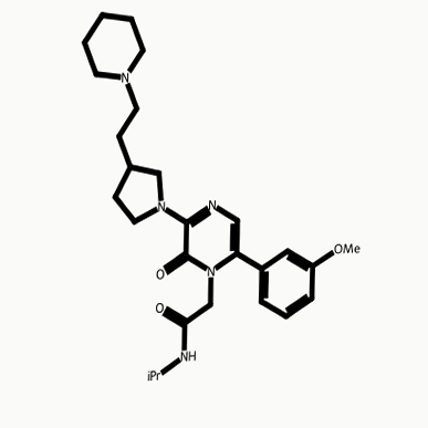 COc1cccc(-c2cnc(N3CCC(CCN4CCCCC4)C3)c(=O)n2CC(=O)NC(C)C)c1